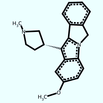 COc1ccc2c(c1)c([C@@H]1CCN(C)C1)c1n2Cc2ccccc2-1